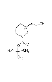 CC(C)(C)OC(=O)N1CCC[C@@H](CCO)C1